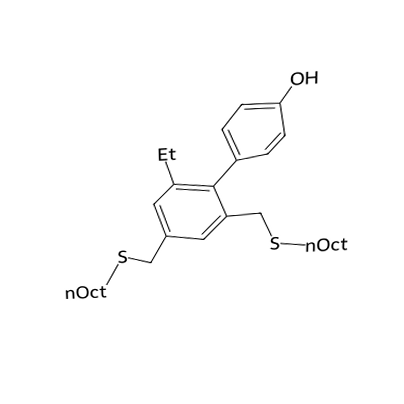 CCCCCCCCSCc1cc(CC)c(-c2ccc(O)cc2)c(CSCCCCCCCC)c1